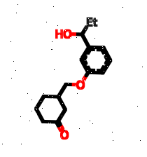 CCC(O)c1cccc(OCC2CCCC(=O)C2)c1